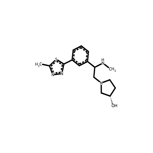 CNC(CN1CC[C@H](O)C1)c1cccc(-c2nnc(C)s2)c1